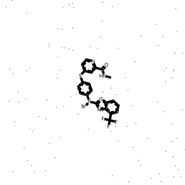 CNC(=O)c1cc(Sc2ccc(N(Br)c3nc4c(C(F)(F)F)cccc4o3)cc2)ccn1